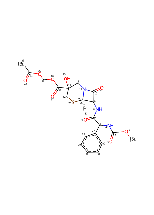 CC(C)(C)OC(=O)NC(C(=O)NC1C(=O)N2CC(O)(C(=O)OCOC(=O)C(C)(C)C)CS[C@H]12)c1ccccc1